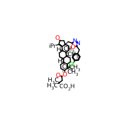 CC(C)C1=C2[C@H]3CC[C@@H]4[C@@]5(C)CC[C@H](OC(=O)CC(C)(C)C(=O)O)C(C)(C)C5CC[C@@]4(C)[C@]3(C)CC[C@@]2(Cc2nnc(Cc3ccc(Cl)cc3)o2)CC1=O